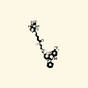 O=C(CCCC[C@H]1SC[C@H]2NC(=O)N[C@H]21)NCCNC[C@H]1CC[C@@H]2[C@H](O1)c1cc(C(F)(F)F)ccc1N[C@H]2c1ccccc1